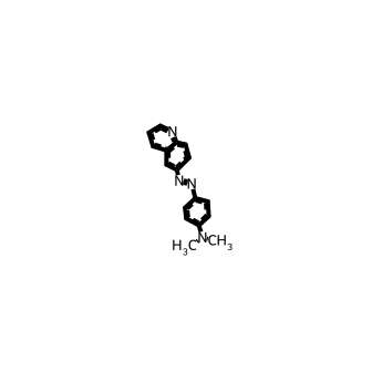 CN(C)c1ccc(/N=N/c2ccc3ncccc3c2)cc1